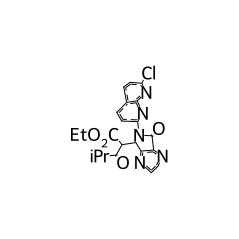 CCOC(=O)C(C(=O)C(C)C)C1c2nccnc2C(=O)N1c1ccc2ccc(Cl)nc2n1